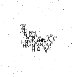 N=C(NCC(=O)Nc1ccccc1C(=N)c1ccccc1)OC(=N)/C(=C/NCC1CC1)C(=N)N1CCOCC1